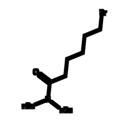 CCCCN(CCCC)C(=O)CCCCCBr